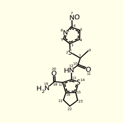 CC(Sc1ccc(N=O)nc1)C(=O)Nc1sc2c(c1C(N)=O)CCC2